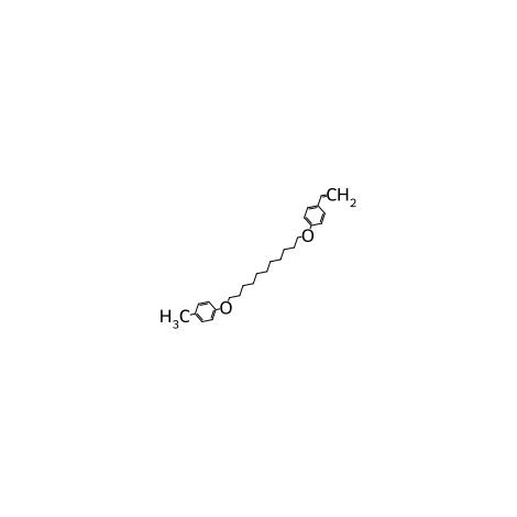 C=Cc1ccc(OCCCCCCCCCCCOc2ccc(C)cc2)cc1